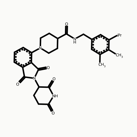 Cc1cc(CNC(=O)C2CCN(c3cccc4c3C(=O)N(C3CCC(=O)NC3=O)C4=O)CC2)cc(C(C)C)c1C